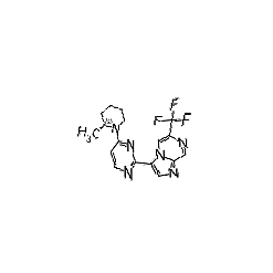 C[C@H]1CCCCN1c1ccnc(-c2cnc3cnc(C(F)(F)F)cn23)n1